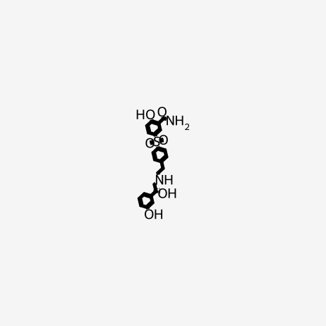 NC(=O)c1cc(S(=O)(=O)c2ccc(CCNC[C@@H](O)c3cccc(O)c3)cc2)ccc1O